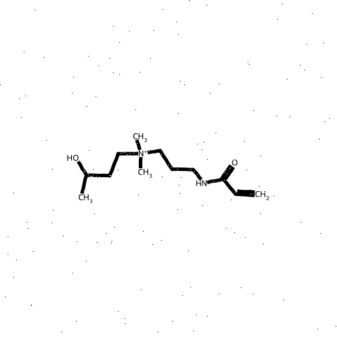 C=CC(=O)NCCC[N+](C)(C)CCC(C)O